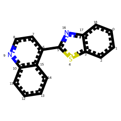 c1ccc2sc(-c3ccnc4ccccc34)nc2c1